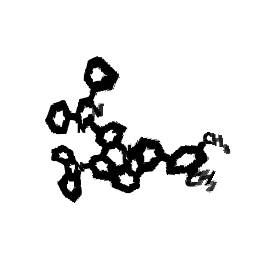 Cc1cc(C)cc(-c2ccc3c(c2)c2ccccc2n3-c2ccc(-c3nc(-c4ccccc4)cc(-c4ccccc4)n3)cc2-c2cccc(-n3c4ccccc4c4ccccc43)c2)c1